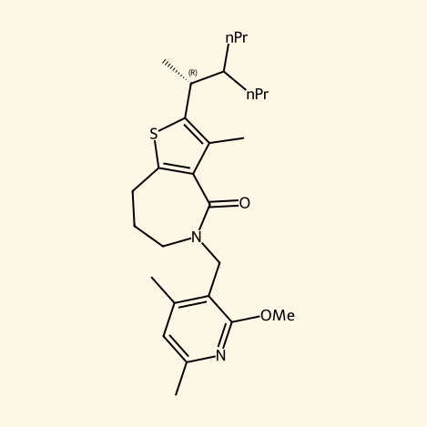 CCCC(CCC)[C@@H](C)c1sc2c(c1C)C(=O)N(Cc1c(C)cc(C)nc1OC)CCC2